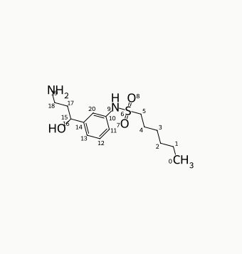 CCCCCCS(=O)(=O)Nc1cccc(C(O)CCN)c1